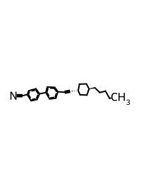 CCCCC[C@H]1CC[C@H](C#Cc2ccc(-c3ccc(C#N)cc3)cc2)CC1